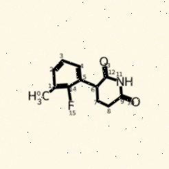 Cc1cccc(C2CCC(=O)NC2=O)c1F